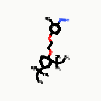 CCC(C)(C)c1ccc(OCCOc2ccc(N=N)c(C)c2)c(C(C)(C)CC)c1